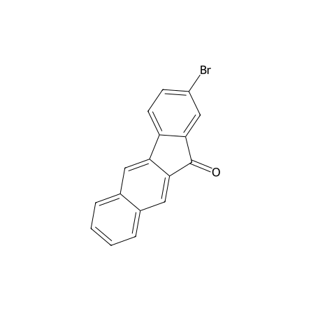 O=C1c2cc(Br)ccc2-c2cc3ccccc3cc21